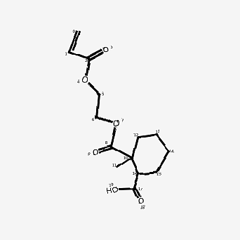 C=CC(=O)OCCOC(=O)C1(C)CCCCC1C(=O)O